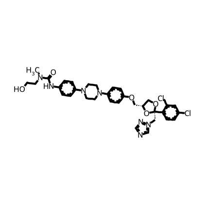 CN(CCO)C(=O)Nc1ccc(N2CCN(c3ccc(OC[C@@H]4CO[C@@](Cn5cncn5)(c5ccc(Cl)cc5Cl)O4)cc3)CC2)cc1